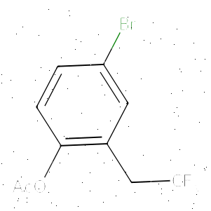 CC(=O)Oc1ccc(Br)cc1CC(F)(F)F